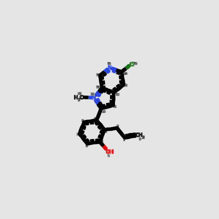 C=CCc1c(O)cccc1-c1cc2cc(Cl)ncc2n1C